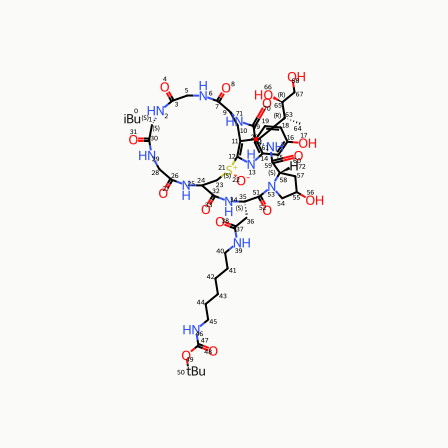 CC[C@H](C)[C@@H]1NC(=O)CNC(=O)C2Cc3c([nH]c4cc(O)ccc34)[S@+]([O-])CC(NC(=O)CNC1=O)C(=O)N[C@@H](CC(=O)NCCCCCCNC(=O)OC(C)(C)C)C(=O)N1CC(O)C[C@H]1C(=O)N[C@@H]([C@@H](C)[C@@H](O)CO)C(=O)N2